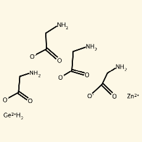 NCC(=O)[O-].NCC(=O)[O-].NCC(=O)[O-].NCC(=O)[O-].[GeH2+2].[Zn+2]